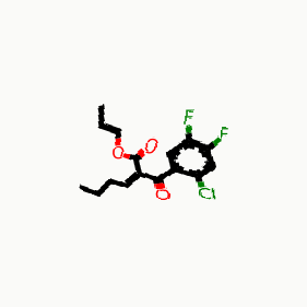 CCCC=C(C(=O)OCCC)C(=O)c1cc(F)c(F)cc1Cl